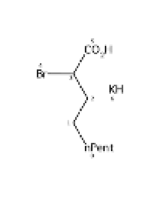 CCCCCCCC(Br)C(=O)O.[KH]